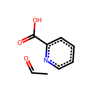 CC=O.O=C(O)c1ccccn1